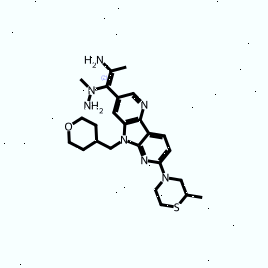 C/C(N)=C(\c1cnc2c3ccc(N4CCSC(C)C4)nc3n(CC3CCOCC3)c2c1)N(C)N